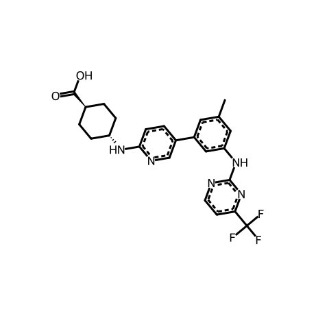 Cc1cc(Nc2nccc(C(F)(F)F)n2)cc(-c2ccc(N[C@H]3CC[C@H](C(=O)O)CC3)nc2)c1